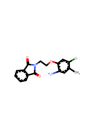 Cc1cc(N)c(OCCN2C(=O)c3ccccc3C2=O)cc1Cl